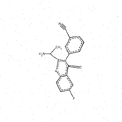 CC(N)c1nc2ccc(F)cc2c(=O)n1-c1cccc(C#N)c1